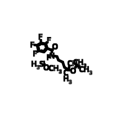 CC(C)OC(C)(C)CCCCN(F)C(=O)c1cc(F)c(F)c(F)c1F.CO[SiH3]